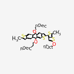 CCCCCCCCCCCCOc1c2cc3cc(-c4sc(C)c5sc(OCCCCCCCC)cc45)sc3cc2c(OCCCCCCCCCCCC)c2cc3cc(C)sc3cc12